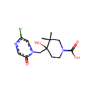 CC1(C)CN(C(=O)O)CCC1(O)Cn1cc(Br)ncc1=O